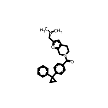 CN(C)Cc1cc2c(o1)CN(C(=O)c1ccc(C3(c4ccccc4)CC3)cc1)CC2